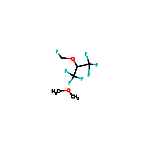 COC.FCOC(C(F)(F)F)C(F)(F)F